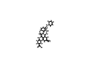 Cc1ccc(OCc2ccccc2)c2c1C(C(=O)N(Cc1ccc(N(C)C)cc1)c1ccc(C(C)C)cc1)CCC2